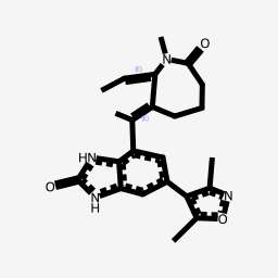 C/C=C1\C(=C(/C)c2cc(-c3c(C)noc3C)cc3[nH]c(=O)[nH]c23)CCCC(=O)N1C